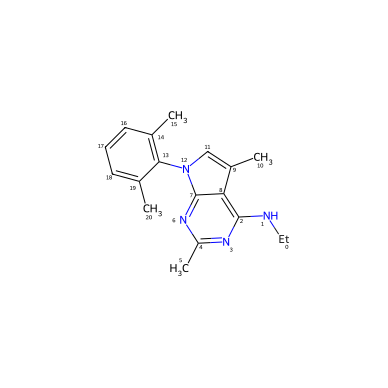 CCNc1nc(C)nc2c1c(C)cn2-c1c(C)cccc1C